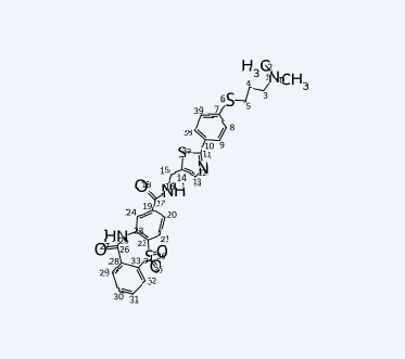 CN(C)CCCSc1ccc(-c2ncc(CNC(=O)c3ccc4c(c3)NC(=O)c3ccccc3S4(=O)=O)s2)cc1